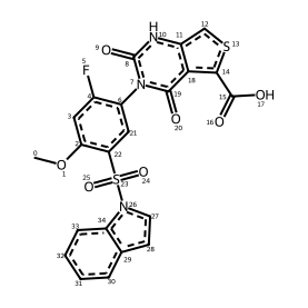 COc1cc(F)c(-n2c(=O)[nH]c3csc(C(=O)O)c3c2=O)cc1S(=O)(=O)n1ccc2ccccc21